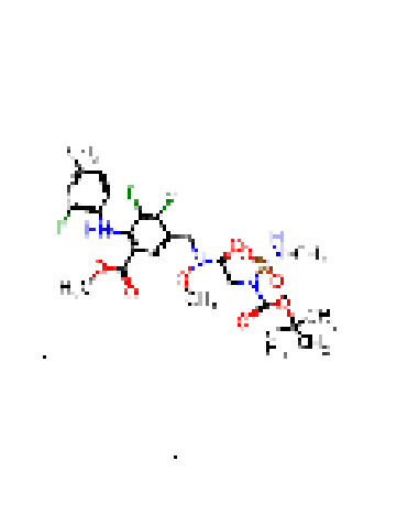 CNS(=O)(=O)N(CC(=O)N(Cc1cc(C(=O)OC)c(Nc2ccc(C)cc2F)c(F)c1F)OC)C(=O)OC(C)(C)C